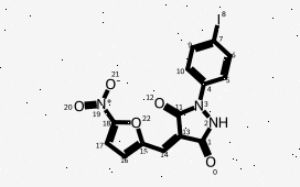 O=C1NN(c2ccc(I)cc2)C(=O)C1=Cc1ccc([N+](=O)[O-])o1